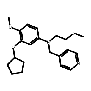 COc1ccc(N(CCSC)Cc2ccncc2)cc1OC1CCCC1